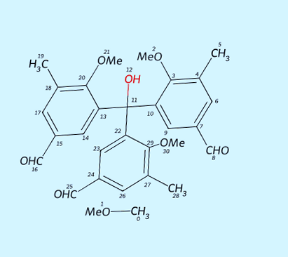 COC.COc1c(C)cc(C=O)cc1C(O)(c1cc(C=O)cc(C)c1OC)c1cc(C=O)cc(C)c1OC